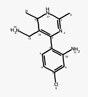 CC1=NC(c2ccc(Cl)cc2N)=C(CN)C(C)N1